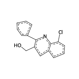 OCc1cc2cccc(Cl)c2nc1-c1ccccc1